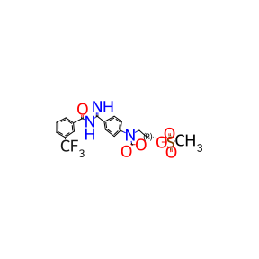 CS(=O)(=O)OC[C@H]1CN(c2ccc(C(=N)NC(=O)c3cccc(C(F)(F)F)c3)cc2)C(=O)O1